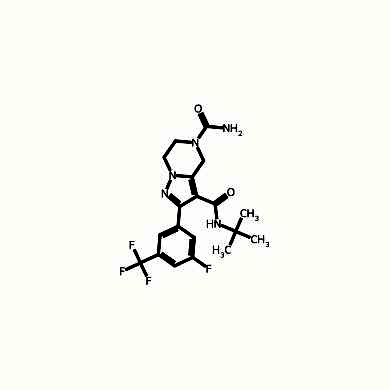 CC(C)(C)NC(=O)c1c(-c2cc(F)cc(C(F)(F)F)c2)nn2c1CN(C(N)=O)CC2